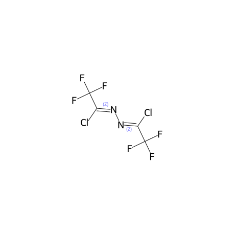 FC(F)(F)/C(Cl)=N/N=C(\Cl)C(F)(F)F